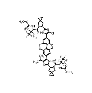 COC(=O)N[C@H](C(=O)N1CC2(CC2)C[C@H]1c1nc(Cl)c(-c2cc3c4c(c2)OCc2cc(-c5[nH]c([C@@H]6CC7(CC7)CN6C(=O)[C@@H](NC(=O)OC)C(C)(C)C(F)(F)F)nc5C(C)C)cc(c2-4)OC3)[nH]1)C(C)(C)C(F)(F)F